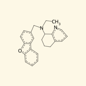 CCN(Cc1ccc2oc3ccccc3c2c1)C1CCCc2cccnc21